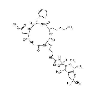 Cc1c(C)c(S(=O)(=O)NC(=N)NCCC[C@H]2NC(=O)CNC(=O)[C@@H](CC(=O)OC(C)(C)C)NC(=O)[C@H](Cc3ccccc3)NC(=O)[C@@H](CCCCN)NC2=O)c(C)c2c1OC(C)(C)C2